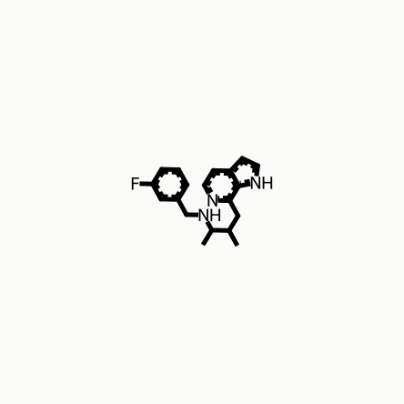 CC(Cc1nccc2cc[nH]c12)C(C)NCc1cccc(F)c1